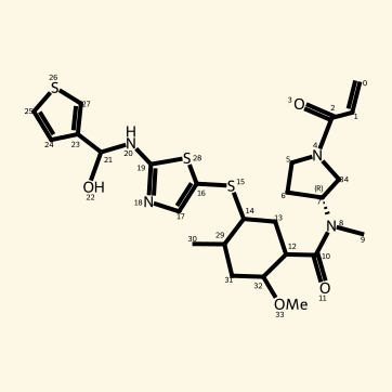 C=CC(=O)N1CC[C@@H](N(C)C(=O)C2CC(Sc3cnc(NC(O)c4ccsc4)s3)C(C)CC2OC)C1